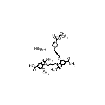 Br.Br.COc1cc(C(=O)O)cc2nc(N)n(C/C=C/Cn3c(N)nc4cc(C(N)=O)cc(OCC#CCN5CCN(C(=O)OC(C)(C)C)CC5)c43)c12